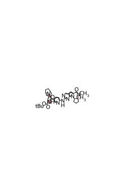 CN(C)C(=O)c1cc2cnc(Nc3ccc(C(=O)N4CC5CCC(C4)N5C(=O)CNC(=O)OC(C)(C)C)cn3)nc2n1C1CCCC1